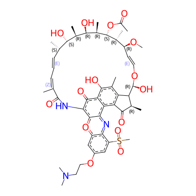 CO[C@H]1/C=C/O[C@@H](O)C2c3c(C)c(O)c4c(=O)c(c5oc6cc(OCCN(C)C)cc(S(C)(=O)=O)c6nc-5c4c3C(=O)[C@@H]2C)NC(=O)/C(C)=C\C=C\[C@H](C)[C@H](O)[C@@H](C)[C@@H](O)[C@@H](C)[C@H](OC(C)=O)[C@@H]1C